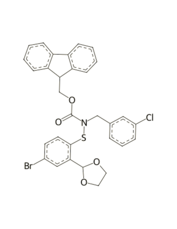 O=C(OCC1c2ccccc2-c2ccccc21)N(Cc1cccc(Cl)c1)Sc1ccc(Br)cc1C1OCCO1